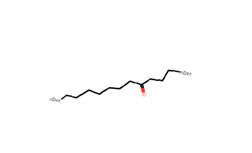 CCCCCCCCCCCCCCCCCC(=O)CCCCCCCCCCCCC